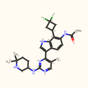 COC(=O)Nc1ccc2c(-c3nc(NC4CCC(C)(C)NC4)ncc3C(F)(F)F)c[nH]c2c1C1CC(F)(F)C1